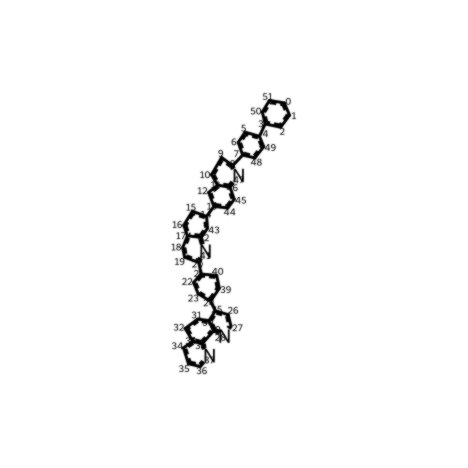 c1ccc(-c2ccc(-c3ccc4cc(-c5ccc6ccc(-c7ccc(-c8ccnc9c8ccc8cccnc89)cc7)nc6c5)ccc4n3)cc2)cc1